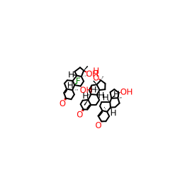 C[C@]1(O)CC[C@H]2[C@@H]3CCC4=CC(=O)CC[C@]4(C)[C@@]3(F)[C@@H](O)C[C@@]21C.C[C@]12CCC(=O)C=C1CC[C@@H]1[C@@H]2CC[C@@]2(C)[C@H]1CC[C@]2(C)O.C[C@]12CC[C@H]3[C@@H](CCC4=CC(=O)CC[C@@]43C)[C@@H]1CC[C@@H]2O